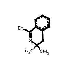 [CH2]CC1=NC(C)(C)Cc2ccccc21